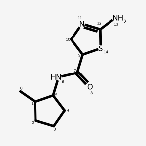 CC1CCCC1NC(=O)C1CN=C(N)S1